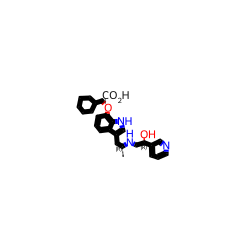 C[C@H](Cc1c[nH]c2c(O[C@H](C(=O)O)C3CCCCC3)cccc12)NC[C@H](O)c1cccnc1